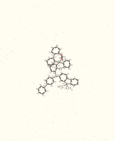 CC1(C)c2ccccc2-c2ccc(N(c3ccc(-c4ccccc4)cc3)c3cccc4c3Oc3ccccc3C43c4ccccc4-c4ccccc4-c4ccccc43)cc21